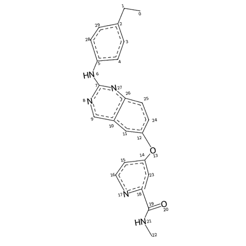 CCc1ccc(Nc2ncc3cc(Oc4ccnc(C(=O)NC)c4)ccc3n2)cc1